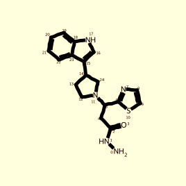 NNC(=O)CC(c1nccs1)N1CCC(c2c[nH]c3ccccc23)C1